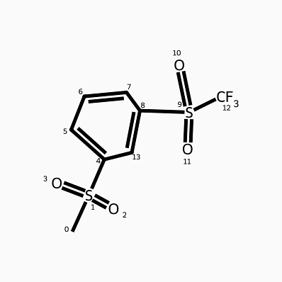 CS(=O)(=O)c1cccc(S(=O)(=O)C(F)(F)F)c1